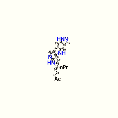 CCC/C(=C\CCC(C)=O)c1cc2c(Nc3ccc4[nH]ncc4c3)ccnc2[nH]1